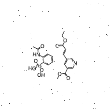 CC(=O)Nc1ccccc1[As](=O)(O)OO.CCOC(=O)C=Cc1cncc(C(=O)OC)c1